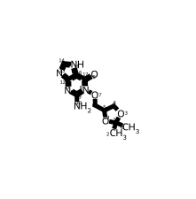 CC1(C)OCC(COn2c(N)nc3nc[nH]c3c2=O)O1